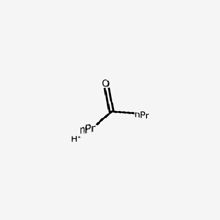 CCCC(=O)CCC.[H+]